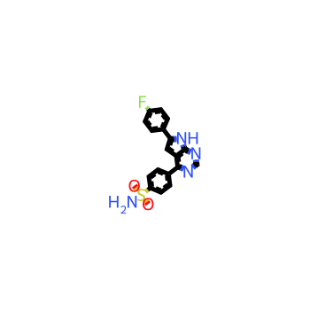 NS(=O)(=O)c1ccc(-c2ncnc3[nH]c(-c4ccc(F)cc4)cc23)cc1